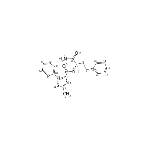 Cc1nc(C(=O)NC(CCc2ccccc2)C(N)=O)c(-c2ccccc2)s1